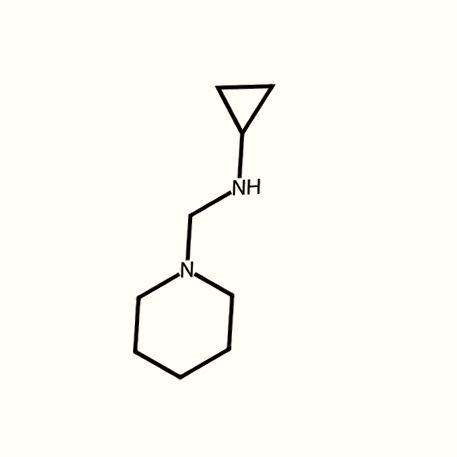 C1CCN(CNC2CC2)CC1